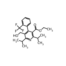 CCOC(=O)c1c(C(C)C)nc(C(C)C)c(CO)c1-c1ccccc1C(F)(F)F